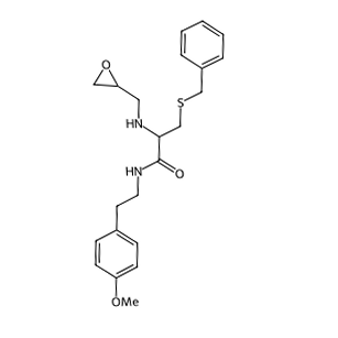 COc1ccc(CCNC(=O)C(CSCc2ccccc2)NCC2CO2)cc1